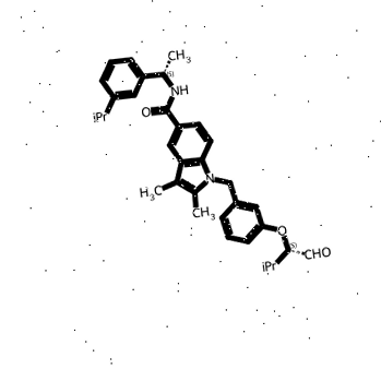 Cc1c(C)n(Cc2cccc(O[C@H](C=O)C(C)C)c2)c2ccc(C(=O)N[C@@H](C)c3cccc(C(C)C)c3)cc12